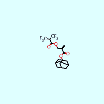 C=C(COC(=O)C(C(F)(F)F)C(F)(F)F)C(=O)OC12CC3CC(CC(C3)C1)C2